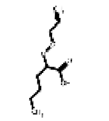 C=CCOOC(CCCC)C(=O)O